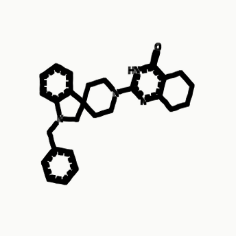 O=c1[nH]c(N2CCC3(CC2)CN(Cc2ccccc2)c2ccccc23)nc2c1CCCC2